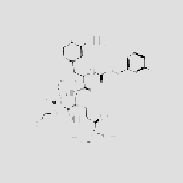 CCOP(=O)(OCC)C(O)[C@H](CCC(=O)N(C)C)NC(=O)C(CC1CCCC(C)C1)NC(=O)OCc1cccc(Cl)c1